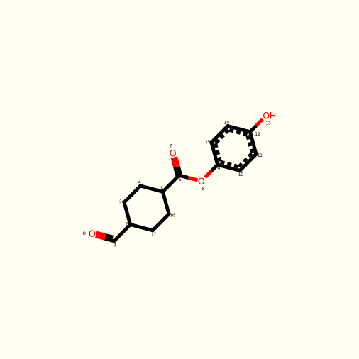 O=CC1CCC(C(=O)Oc2ccc(O)cc2)CC1